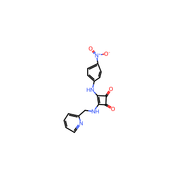 O=c1c(NCc2ccccn2)c(Nc2ccc([N+](=O)[O-])cc2)c1=O